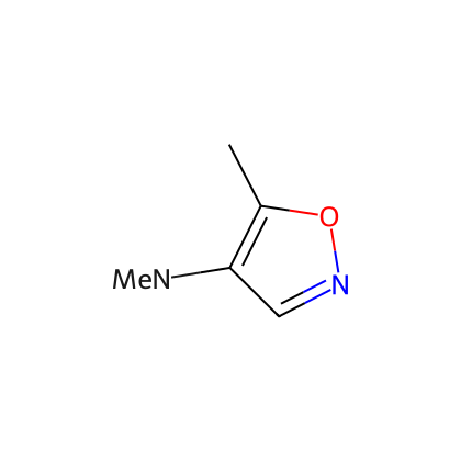 CNc1cnoc1C